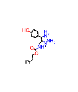 CC(C)CCOC(=O)NC/C(=C(/N)c1ccc(O)cc1)N(C)N